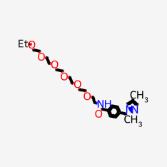 CCOCCOCCOCCOCCOCCOCCNC(=O)c1ccc(C(C)n2cc(C)cn2)cc1